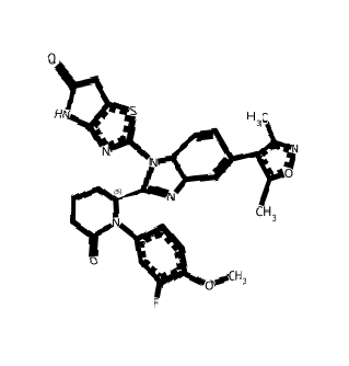 COc1ccc(N2C(=O)CCC[C@H]2C2=NC3C=C(c4c(C)noc4C)C=CC3N2c2nc3c(s2)CC(=O)N3)cc1F